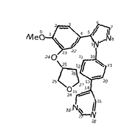 COc1ccc(-c2ccnn2-c2ccc(-c3cncnc3)cc2)cc1OC1CCOC1